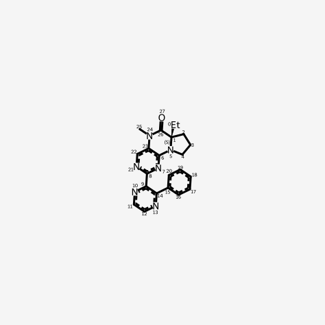 CC[C@@]12CCCN1c1nc(-c3nccnc3-c3ccccc3)ncc1N(C)C2=O